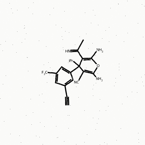 C#Cc1cc(C(F)(F)F)cc(C2(C(C)C)C(C#N)=C(N)OC(N)=C2C(C)=N)c1